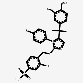 COc1ccc(C(C)(C)c2cnc(SCc3ccc(S(N)(=O)=O)cc3Cl)n2-c2ccc(F)cc2)cc1Cl